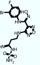 N=C(CCNc1nonc1/C(=N/O)Nc1ccc(F)c(Br)c1)NS(N)(=O)=O